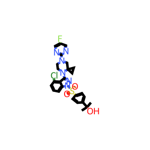 CC(C)(O)c1ccc(S(=O)(=O)n2nc(N3CCN(c4ncc(F)cn4)CC34CC4)c3c(Cl)cccc32)cc1